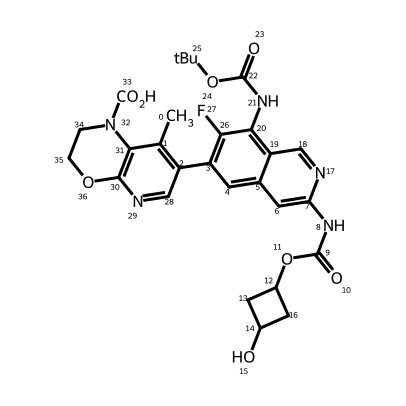 Cc1c(-c2cc3cc(NC(=O)OC4CC(O)C4)ncc3c(NC(=O)OC(C)(C)C)c2F)cnc2c1N(C(=O)O)CCO2